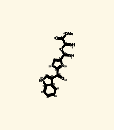 COC(=O)C(=N)OC(=N)c1csc(C(=O)c2c[nH]c3ccccc23)n1